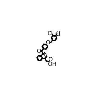 O=C(O)Cc1cnc(C(=O)c2ccc(OCc3ccc(Cl)c(Cl)c3)cc2)c2ccccc12